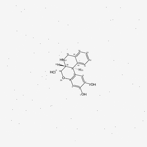 Cl.Oc1cc2c(cc1O)[C@@H]1c3ccccc3CN[C@H]1CO2